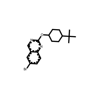 CC(C)(C)C1CCC(Oc2ncc3cc(Br)ccc3n2)CC1